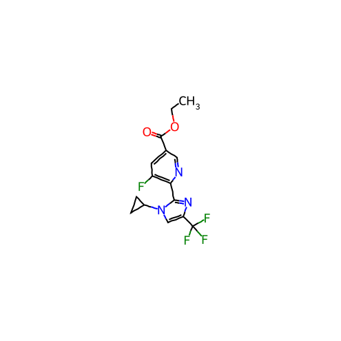 CCOC(=O)c1cnc(-c2nc(C(F)(F)F)cn2C2CC2)c(F)c1